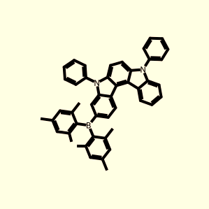 Cc1cc(C)c(B(c2ccc3c4c5c6ccccc6n(-c6ccccc6)c5ccc4n(-c4ccccc4)c3c2)c2c(C)cc(C)cc2C)c(C)c1